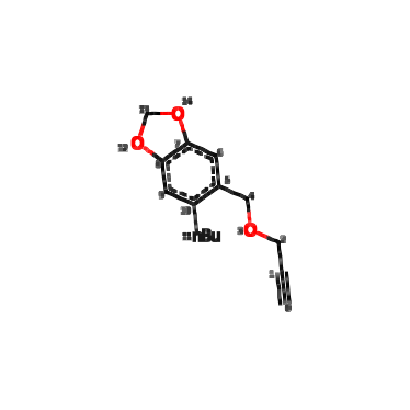 C#CCOCc1cc2c(cc1CCCC)OCO2